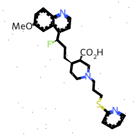 COc1ccc2nccc([C@H](F)CC[C@@H]3CCN(CCCSc4ccccn4)C[C@@H]3C(=O)O)c2c1